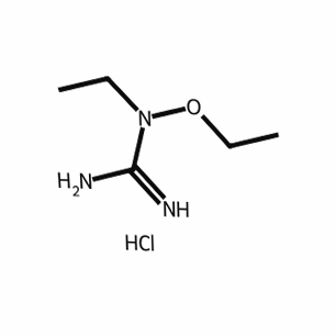 CCON(CC)C(=N)N.Cl